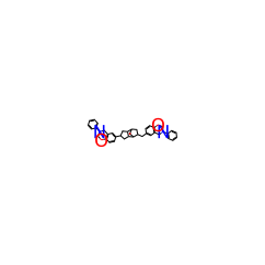 c1ccc(N2COc3ccc(CC4CC5CC4C4CC(c6ccc7c(c6)CN(c6ccccc6)CO7)CC54)cc3C2)cc1